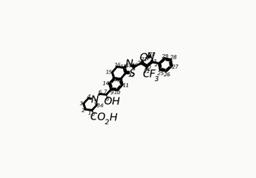 O=C(O)[C@H]1CCCN(C[C@@H](O)c2ccc3c(c2)CCc2nc(-c4onc(-c5ccccc5)c4C(F)(F)F)sc2-3)C1